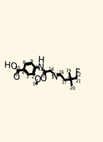 COc1cc(C(=O)O)ccc1NC(=O)CN=CCC(C)(C)CF